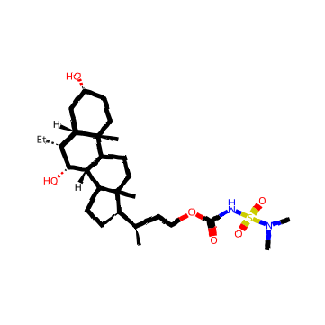 CC[C@H]1[C@@H](O)[C@H]2C3CC[C@H]([C@H](C)CCOC(=O)NS(=O)(=O)N(C)C)C3(C)CCC2[C@@]2(C)CC[C@@H](O)C[C@@H]12